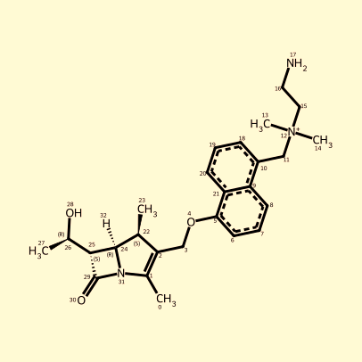 CC1=C(COc2cccc3c(C[N+](C)(C)CCN)cccc23)[C@H](C)[C@@H]2[C@@H]([C@@H](C)O)C(=O)N12